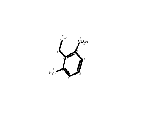 O=C(O)c1cccc(C(F)(F)F)c1CO